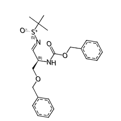 CC(C)(C)[S@@+]([O-])N=C[C@H](COCc1ccccc1)NC(=O)OCc1ccccc1